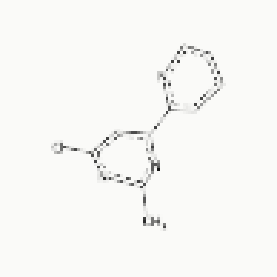 Cc1nc(Cl)cc(-c2ccccn2)n1